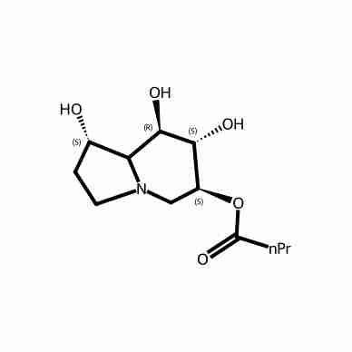 CCCC(=O)O[C@H]1CN2CC[C@H](O)C2[C@@H](O)[C@@H]1O